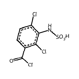 O=C(Cl)c1ccc(Cl)c(NS(=O)(=O)O)c1Cl